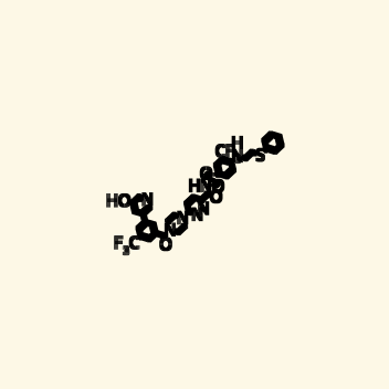 O=C(NS(=O)(=O)c1ccc(NCCSc2ccccc2)c(C(F)(F)F)c1)c1ccc(N2CCN(C(=O)c3cc(-c4cncc(O)c4)cc(C(F)(F)F)c3)CC2)nn1